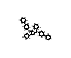 c1ccc(-c2ccc(-n3c4ccccc4n4c3cc3c5ccccc5n(-c5ccc(-c6ccccc6)cc5)c34)cc2)cc1